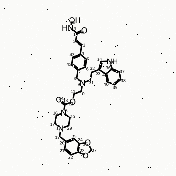 O=C(/C=C/c1ccc(CN(CCOC(=O)N2CCN(Cc3ccc4c(c3)OCO4)CC2)CCc2c[nH]c3ccccc23)cc1)NO